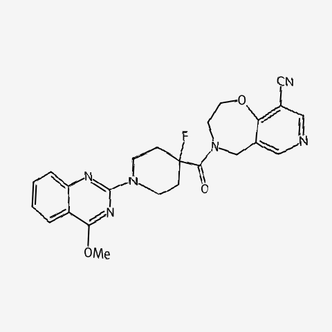 COc1nc(N2CCC(F)(C(=O)N3CCOc4c(C#N)cncc4C3)CC2)nc2ccccc12